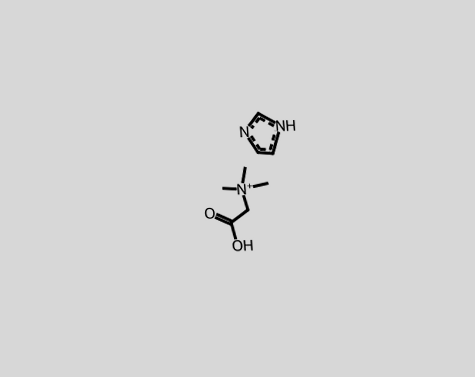 C[N+](C)(C)CC(=O)O.c1c[nH]cn1